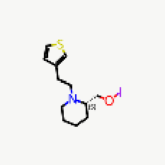 IOC[C@@H]1CCCCN1CCc1ccsc1